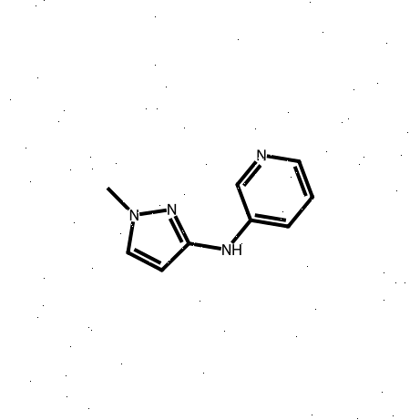 Cn1ccc(Nc2cccnc2)n1